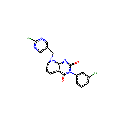 O=c1nc2n(Cc3cnc(Cl)nc3)cccc-2c(=O)n1-c1cccc(Br)c1